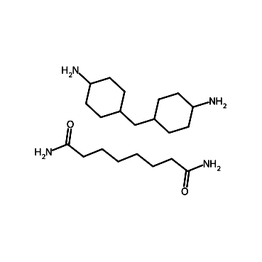 NC(=O)CCCCCCC(N)=O.NC1CCC(CC2CCC(N)CC2)CC1